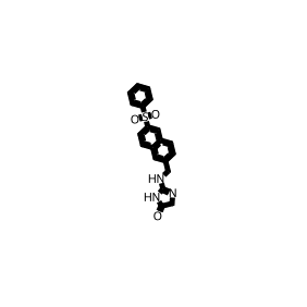 O=C1CN=C(NCc2ccc3cc(S(=O)(=O)c4ccccc4)ccc3c2)N1